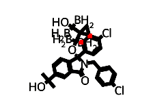 BC(B)(O)C1(C(B)(B)O[C@]2(c3ccc(Cl)cc3)c3ccc(C(C)(C)O)cc3C(=O)N2Cc2ccc(Cl)cc2)CC1